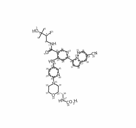 CC(C)(O)C(F)CNC(=O)c1cnc(-c2ccc3cc(C#N)cnn23)cc1Nc1ccc(N2CCO[C@@H](CNC(=O)O)C2)nc1